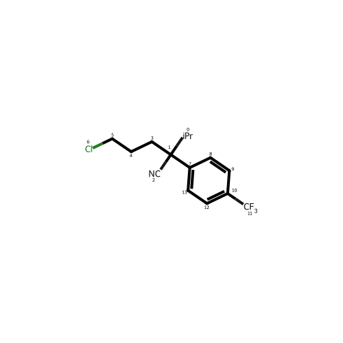 CC(C)C(C#N)(CCCCl)c1ccc(C(F)(F)F)cc1